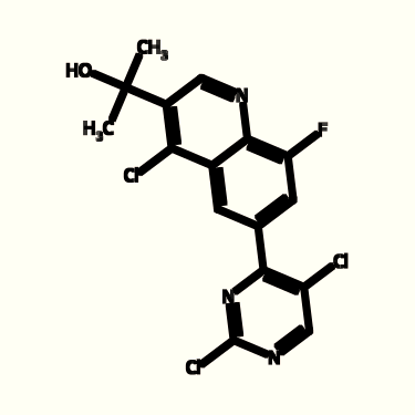 CC(C)(O)c1cnc2c(F)cc(-c3nc(Cl)ncc3Cl)cc2c1Cl